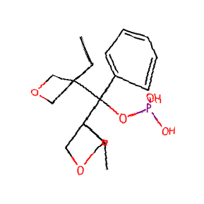 CCC1(C(OP(O)O)(c2ccccc2)C2(CC)COC2)COC1